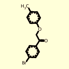 Cc1ccc(OCC(=O)c2ccc(Br)cc2)cc1